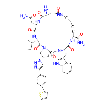 CCC(C)[C@@H]1NC(=O)[C@H](CC(N)=O)NC(=O)[C@@H](N)CC(=O)NCCCC[C@@H](C(N)=O)NC(=O)[C@H](Cc2c[nH]c3ccccc23)NC(=O)[C@@H]2C[C@H](n3cc(-c4ccc(-c5cccs5)cc4)nn3)CN2C1=O